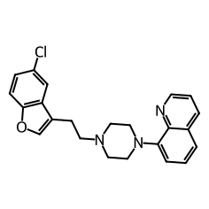 Clc1ccc2occ(CCN3CCN(c4cccc5cccnc45)CC3)c2c1